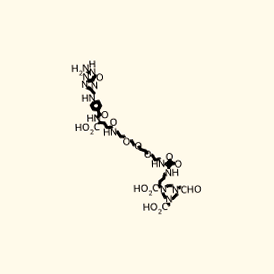 Nc1nc2ncc(CNc3ccc(C(=O)N[C@@H](CCC(=O)NCCCOCCOCCOCCCNc4c(NCCCC(C(=O)O)N5CCN(CC=O)CCN(CC(=O)O)CC5)c(=O)c4=O)C(=O)O)cc3)nc2c(=O)[nH]1